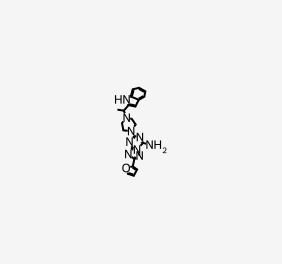 CC(c1cc2ccccc2[nH]1)N1CCN(c2nc(N)n3nc(-c4ccco4)nc3n2)CC1